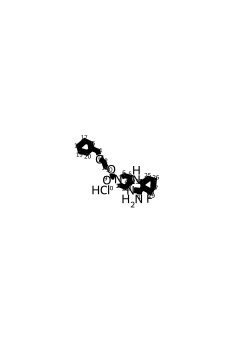 Cl.NC1=NC2(CCN(C(=O)OCCOCc3ccccc3)CC2)Nc2cccc(F)c21